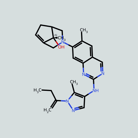 C=C(CC)n1ncc(Nc2ncc3cc(C)c(N4CC5=CCC(C4)[C@]5(C)O)cc3n2)c1C